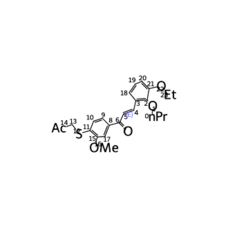 CCCOc1c(/C=C/C(=O)c2ccc(SCC(C)=O)c(OC)c2)cccc1OCC